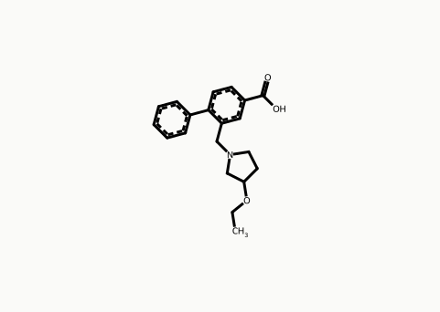 CCOC1CCN(Cc2cc(C(=O)O)ccc2-c2ccccc2)C1